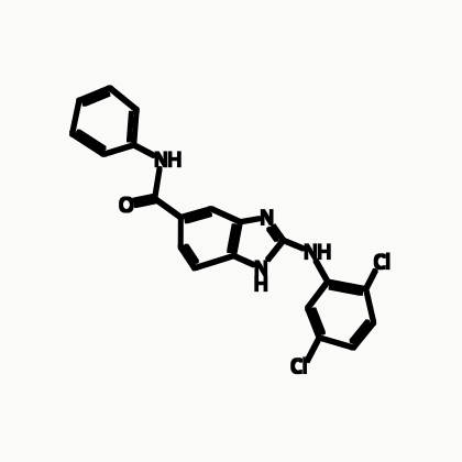 O=C(Nc1ccccc1)c1ccc2[nH]c(Nc3cc(Cl)ccc3Cl)nc2c1